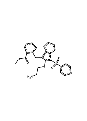 COC(=O)c1ccccc1Cn1c(SCCN)c(S(=O)(=O)c2ccccc2)c2ccccc21